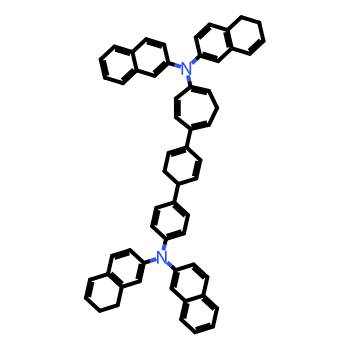 C1=Cc2cc(N(C3=CCC=C(C4=CCC(c5ccc(N(c6ccc7c(c6)CCC=C7)c6ccc7ccccc7c6)cc5)C=C4)C=C3)c3ccc4ccccc4c3)ccc2CC1